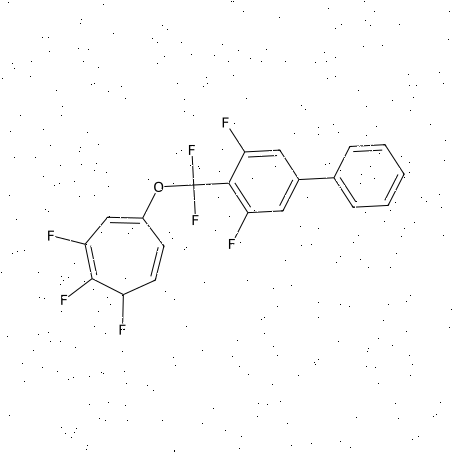 FC1=C(F)C(F)C=CC(OC(F)(F)c2c(F)cc(-c3ccccc3)cc2F)=C1